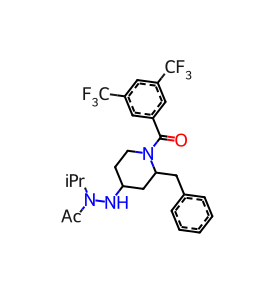 CC(=O)N(NC1CCN(C(=O)c2cc(C(F)(F)F)cc(C(F)(F)F)c2)C(Cc2ccccc2)C1)C(C)C